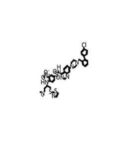 CN(C)CCC(CSc1nccs1)Nc1ccc(S(=O)(=O)Nc2ncnc3cc(N4CCN(Cc5ccccc5-c5ccc(Cl)cc5)CC4)ccc23)cc1[N+](=O)[O-]